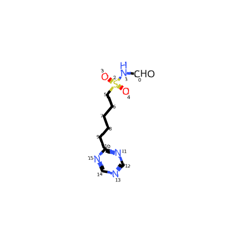 O=CNS(=O)(=O)CCCCCc1ncncn1